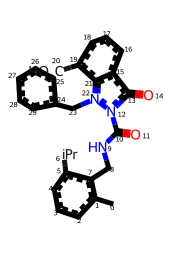 Cc1cccc(C(C)C)c1CNC(=O)n1c(=O)c2cccc(C(=O)O)c2n1Cc1ccccc1